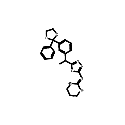 CC(c1cccc(C2(c3ccccc3)OCCO2)c1)c1nnc(N=C2NCCCN2)o1